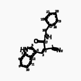 N#CC(=Cc1c[nH]c2ccccc12)C(=O)NCc1ccccc1